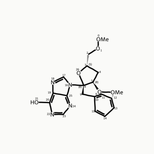 COOC[C@@H]1C[C@@H](OOC)[C@](Cc2ccccc2)(n2cnc3c(O)ncnc32)O1